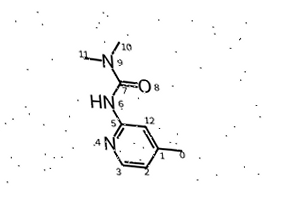 Cc1ccnc(NC(=O)N(C)C)c1